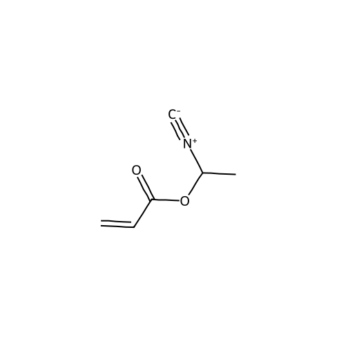 [C-]#[N+]C(C)OC(=O)C=C